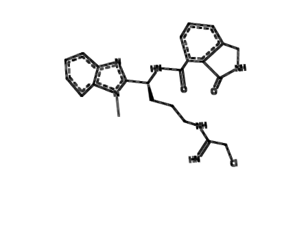 Cn1c([C@H](CCCNC(=N)CCl)NC(=O)c2cccc3c2C(=O)NC3)nc2ccccc21